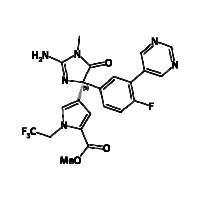 COC(=O)c1cc([C@]2(c3ccc(F)c(-c4cncnc4)c3)N=C(N)N(C)C2=O)cn1CC(F)(F)F